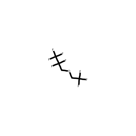 FC(F)(F)COCC(F)(F)C(F)(F)F